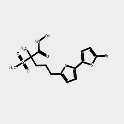 CC(CCCc1ccc(-c2ccc(Br)s2)s1)(C(=O)NO)S(C)(=O)=O